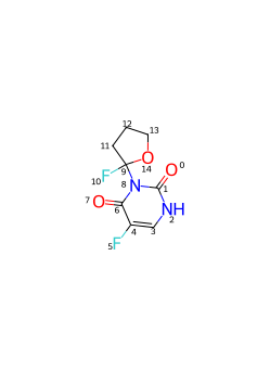 O=c1[nH]cc(F)c(=O)n1C1(F)CCCO1